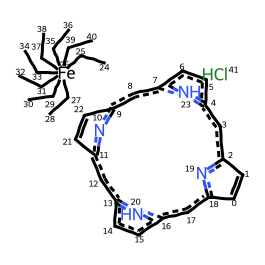 C1=Cc2cc3ccc(cc4nc(cc5ccc(cc1n2)[nH]5)C=C4)[nH]3.C[CH2][Fe]([CH2]C)([CH2]C)([CH2]C)([CH2]C)([CH2]C)([CH2]C)[CH2]C.Cl